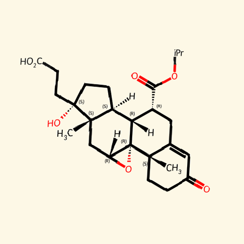 CC(C)OC(=O)[C@@H]1CC2=CC(=O)CC[C@]2(C)[C@@]23O[C@@H]2C[C@@]2(C)[C@@H](CC[C@]2(O)CCC(=O)O)[C@H]13